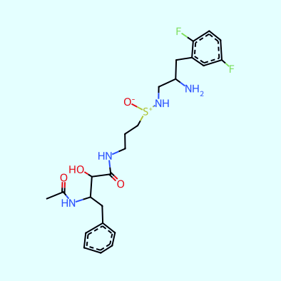 CC(=O)NC(Cc1ccccc1)C(O)C(=O)NCCC[S+]([O-])NCC(N)Cc1cc(F)ccc1F